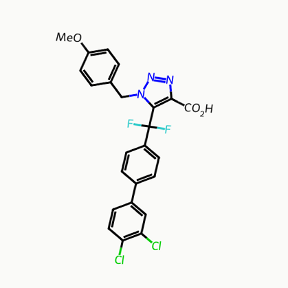 COc1ccc(Cn2nnc(C(=O)O)c2C(F)(F)c2ccc(-c3ccc(Cl)c(Cl)c3)cc2)cc1